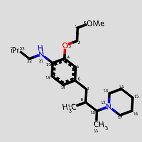 COCCOc1cc(CC(C)C(C)N2CCCCC2)ccc1NCC(C)C